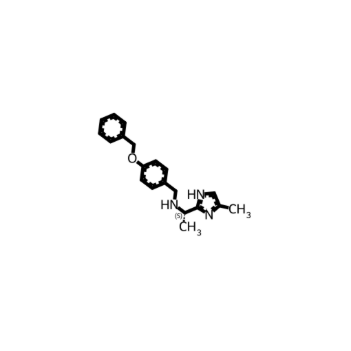 Cc1c[nH]c([C@H](C)NCc2ccc(OCc3ccccc3)cc2)n1